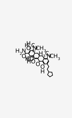 CN(C)c1cc(CCC2CCCC2)c(O)c2c1CC1CC3[C@H](N(C)C)C(O)=C(C(N)=O)C(=O)[C@@]3(O)C(O)=C1C2=O